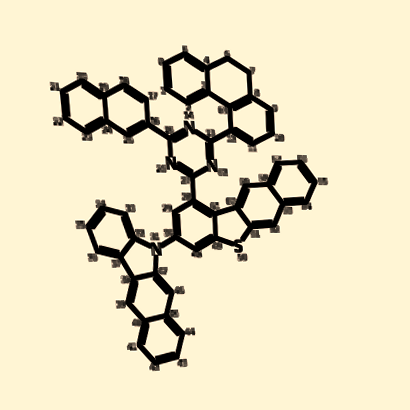 c1ccc2c(c1)CCc1cccc(-c3nc(-c4ccc5ccccc5c4)nc(-c4cc(-n5c6ccccc6c6cc7ccccc7cc65)cc5sc6cc7ccccc7cc6c45)n3)c1-2